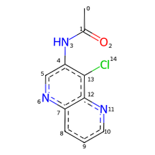 CC(=O)Nc1cnc2cccnc2c1Cl